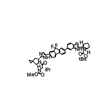 COC(=O)N[C@H](C(=O)N1CC2(CC2)C[C@H]1c1ncc(-c2ccc3c(c2)C(F)(F)c2cc(-c4ccc5nc(C6[C@H]7CC[C@H](C7)N6C(=O)OC(C)(C)C)[nH]c5c4)ccc2-3)[nH]1)C(C)C